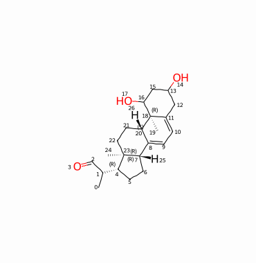 CC(C=O)[C@H]1CC[C@H]2C3=CC=C4CC(O)CC(O)[C@]4(C)[C@H]3CC[C@]12C